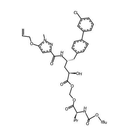 C=CCOc1cc(C(=O)N[C@H](Cc2ccc(-c3cccc(Cl)c3)cc2)C[C@@H](O)C(=O)OCOC(=O)[C@@H](NC(=O)OC(C)(C)C)C(C)C)nn1C